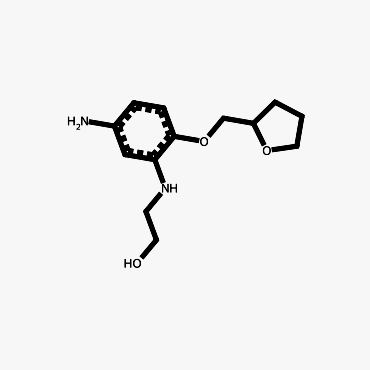 Nc1ccc(OCC2CCCO2)c(NCCO)c1